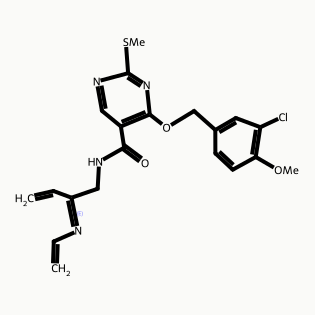 C=C/N=C(\C=C)CNC(=O)c1cnc(SC)nc1OCc1ccc(OC)c(Cl)c1